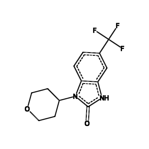 O=c1[nH]c2cc(C(F)(F)F)ccc2n1C1CCOCC1